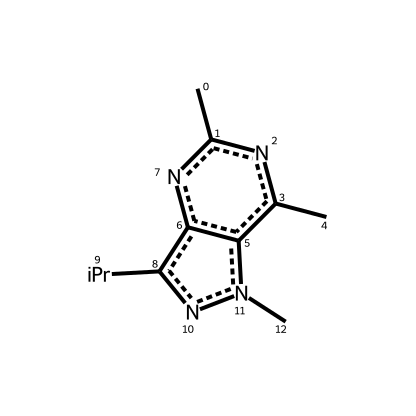 Cc1nc(C)c2c(n1)c(C(C)C)nn2C